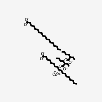 CCCCC(CC)C(=O)[O-].CCCCC(CC)C(=O)[O-].CCCCCCCCCCCCCCCCCC(=O)[O-].CCCCCCCCCCCCCCCCCC(=O)[O-].[Co+2].[Co+2]